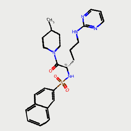 CC1CCN(C(=O)[C@H](CCCNc2ncccn2)NS(=O)(=O)c2ccc3ccccc3c2)CC1